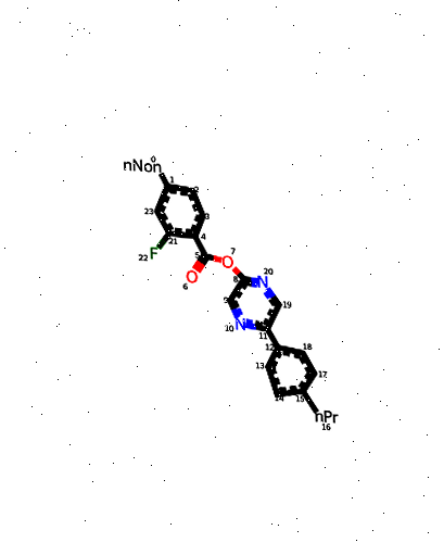 CCCCCCCCCc1ccc(C(=O)Oc2cnc(-c3ccc(CCC)cc3)cn2)c(F)c1